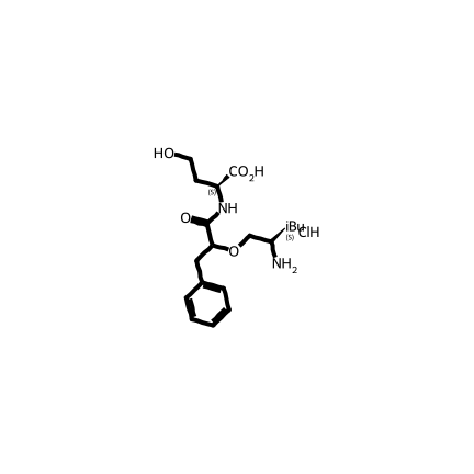 CC[C@H](C)C(N)COC(Cc1ccccc1)C(=O)N[C@@H](CCO)C(=O)O.Cl